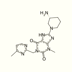 Cc1ccnc(Cn2c(=O)c3[nH]c(N4CCC[C@@H](N)C4)nc3n(C)c2=O)n1